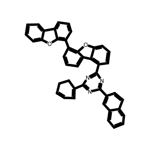 C1=CCCC(c2nc(-c3ccc4ccccc4c3)nc(-c3cccc4oc5c(-c6cccc7c6oc6ccccc67)cccc5c34)n2)=C1